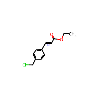 CCOC(=O)/C=C/c1ccc(CCl)cc1